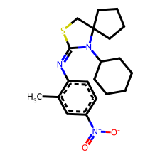 Cc1cc([N+](=O)[O-])ccc1/N=C1/SCC2(CCCC2)N1C1CCCCC1